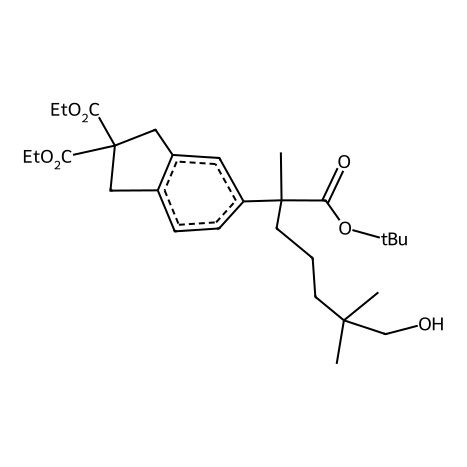 CCOC(=O)C1(C(=O)OCC)Cc2ccc(C(C)(CCCC(C)(C)CO)C(=O)OC(C)(C)C)cc2C1